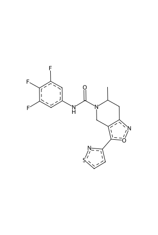 CC1Cc2noc(-c3ccsn3)c2CN1C(=O)Nc1cc(F)c(F)c(F)c1